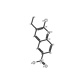 CCc1cc2cc([N+](=O)[O-])ccc2nc1Cl